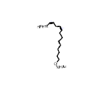 CCCCC/C=C\C/C=C\CCCCCCCCONC(C)=O